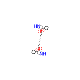 O=C(CCCCCCCCC(=O)OC1(c2ccccc2)CCNCC1)OC1(c2ccccc2)CCNCC1